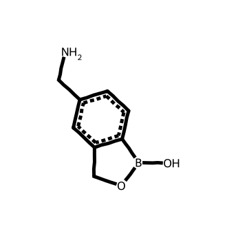 NCc1ccc2c(c1)COB2O